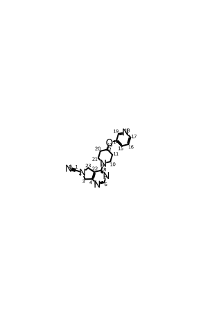 N#CN1Cc2ncnc(N3CCC(Oc4cccnc4)CC3)c2C1